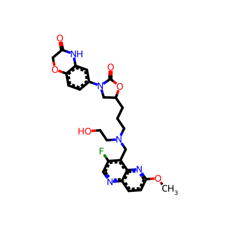 COc1ccc2ncc(F)c(CN(CCO)CCCC3CN(c4ccc5c(c4)NC(=O)CO5)C(=O)O3)c2n1